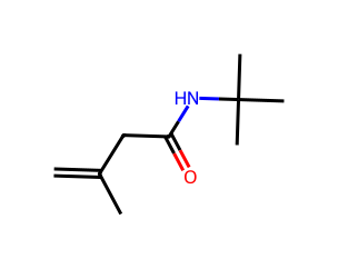 C=C(C)CC(=O)NC(C)(C)C